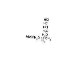 Cl.Cl.Cl.Cl.Cl.O.O.O.O.O.[Mo]